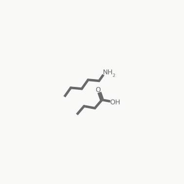 CCCC(=O)O.CCCCCN